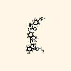 CC(C)c1ccc(NC(=O)Oc2ccc3c(c2)CCN3Cc2cn(C)c3ccccc23)cc1